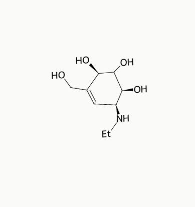 CCN[C@H]1C=C(CO)[C@@H](O)C(O)[C@H]1O